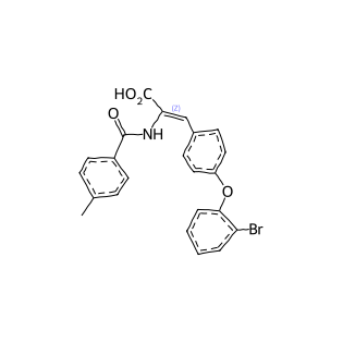 Cc1ccc(C(=O)N/C(=C\c2ccc(Oc3ccccc3Br)cc2)C(=O)O)cc1